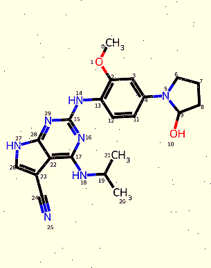 COc1cc(N2CCCC2O)ccc1Nc1nc(NC(C)C)c2c(C#N)c[nH]c2n1